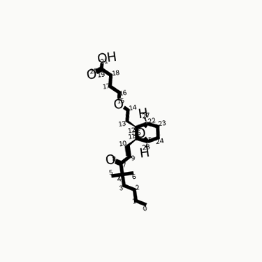 CCCCC(C)(C)C(=O)C=C[C@H]1[C@@H](CCOCCCC(=O)O)[C@H]2CC[C@@H]1O2